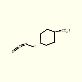 O=C(O)[C@H]1CC[C@H](CN=C=S)CC1